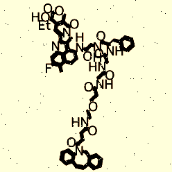 CC[C@@]1(O)C(=O)OCc2c1cc1n(c2=O)Cc2c-1nc1cc(F)c(C)c3c1c2C(NC(=O)CNC(=O)[C@@H](Cc1ccccc1)NC(=O)CNC(=O)CNC(=O)CCOCCNC(=O)CCC(=O)N1Cc2ccccc2/C=C\c2ccccc21)CC3